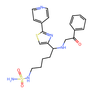 NS(=O)(=O)NCCCCC(NCC(=O)c1ccccc1)c1csc(-c2ccncc2)n1